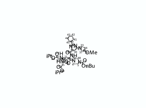 CCCCOC(=O)N1CCN(C(=O)[C@H](CP(=O)(NCC(=O)OC(C)C)NCC(=O)OC(C)C)NC(=O)c2cc(N3CC[C@H](OC)C3)nc(-c3ccccc3)n2)CC1